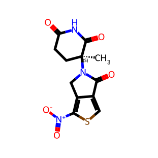 C[C@]1(N2Cc3c(csc3[N+](=O)[O-])C2=O)CCC(=O)NC1=O